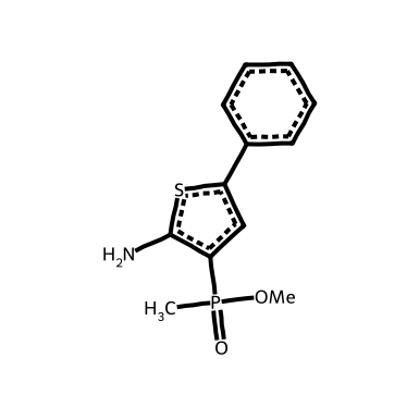 COP(C)(=O)c1cc(-c2ccccc2)sc1N